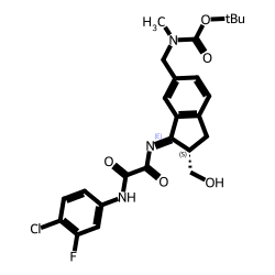 CN(Cc1ccc2c(c1)/C(=N/C(=O)C(=O)Nc1ccc(Cl)c(F)c1)[C@@H](CO)C2)C(=O)OC(C)(C)C